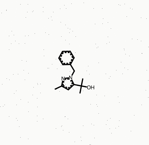 Cc1cc(C(C)(C)O)n(Cc2ccccc2)n1